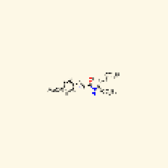 CCOC(=O)CC[C@H](NC(=O)/C=C/c1ccc(OC)cc1)C(=O)OCC